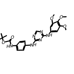 COc1cc(Nc2ncnc(Nc3ccc(NC(=O)OC(C)(C)C)cc3)n2)cc(OC)c1OC